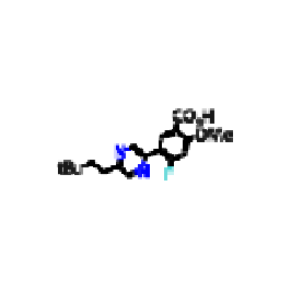 COc1cc(F)c(-c2cnc(CCC(C)(C)C)cn2)cc1C(=O)O